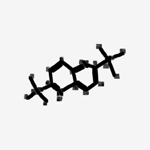 C[N+](C)(C)c1ccc2nc([N+](C)(C)C)ccc2n1